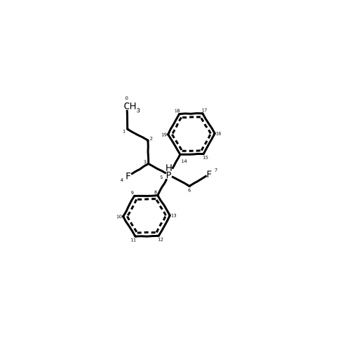 CCCC(F)[PH](CF)(c1ccccc1)c1ccccc1